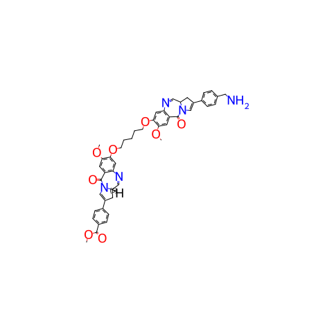 COC(=O)c1ccc(C2=CN3C(=O)c4cc(OC)c(OCCCCCOc5cc6c(cc5OC)C(=O)N5C=C(c7ccc(CN)cc7)CC5C=N6)cc4N=C[C@@H]3C2)cc1